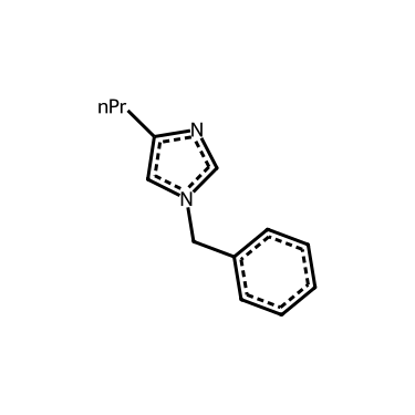 CCCc1cn(Cc2ccccc2)cn1